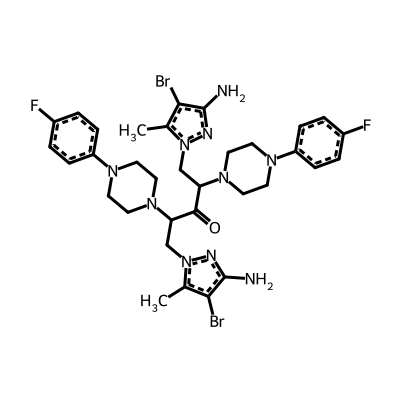 Cc1c(Br)c(N)nn1CC(C(=O)C(Cn1nc(N)c(Br)c1C)N1CCN(c2ccc(F)cc2)CC1)N1CCN(c2ccc(F)cc2)CC1